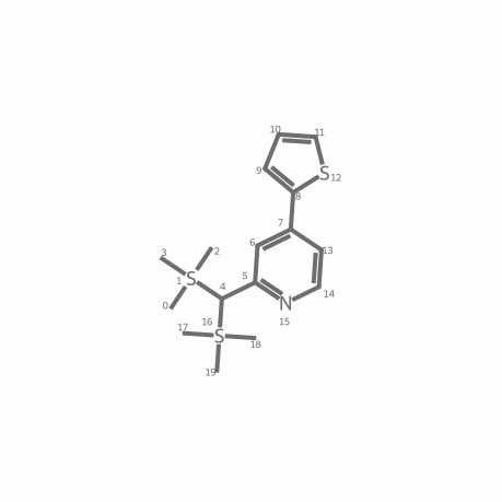 CS(C)(C)C(c1cc(-c2cccs2)ccn1)S(C)(C)C